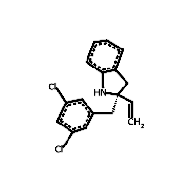 C=C[C@]1(Cc2cc(Cl)cc(Cl)c2)Cc2ccccc2N1